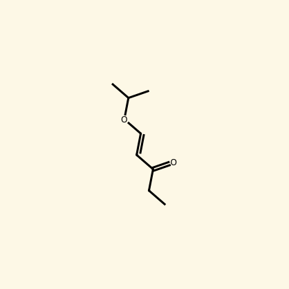 CCC(=O)C=COC(C)C